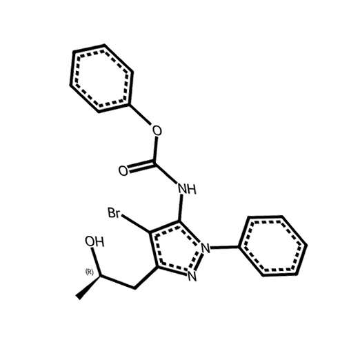 C[C@@H](O)Cc1nn(-c2ccccc2)c(NC(=O)Oc2ccccc2)c1Br